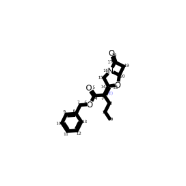 CCC/C(C(=O)OCc1ccccc1)=C1/CN2C(=O)CC2O1